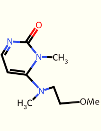 COCCN(C)c1ccnc(=O)n1C